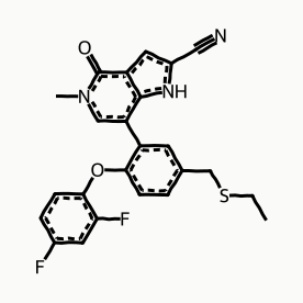 CCSCc1ccc(Oc2ccc(F)cc2F)c(-c2cn(C)c(=O)c3cc(C#N)[nH]c23)c1